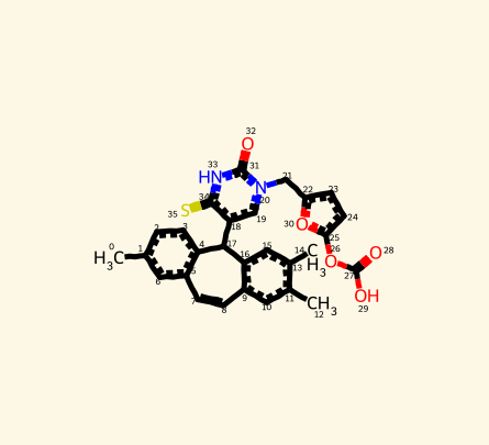 Cc1ccc2c(c1)C=Cc1cc(C)c(C)cc1C2c1cn(Cc2ccc(OC(=O)O)o2)c(=O)[nH]c1=S